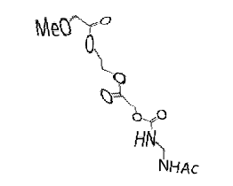 COCC(=O)OCCOC(=O)COC(=O)NCNC(C)=O